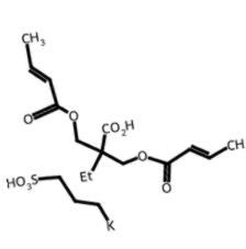 CC=CC(=O)OCC(CC)(COC(=O)C=CC)C(=O)O.O=S(=O)(O)CC[CH2][K]